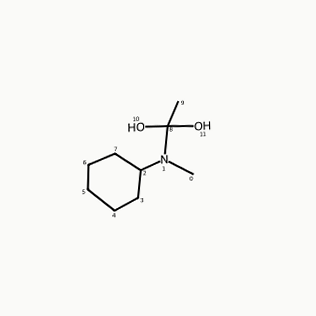 CN(C1CCCCC1)C(C)(O)O